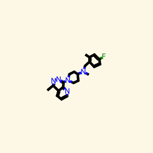 Cc1cc(F)ccc1CN(C)C1CCN(c2nnc(C)c3cccnc23)CC1